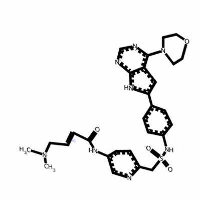 CN(C)C/C=C/C(=O)Nc1ccc(CS(=O)(=O)Nc2ccc(-c3cc4c(N5CCOCC5)ncnc4[nH]3)cc2)nc1